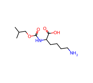 CC(C)COC(=O)NC(CCCCN)C(=O)O